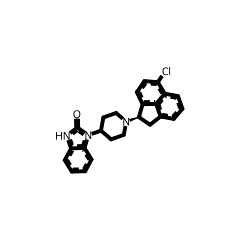 O=c1[nH]c2ccccc2n1C1CCN([C@@H]2Cc3cccc4c(Cl)ccc2c34)CC1